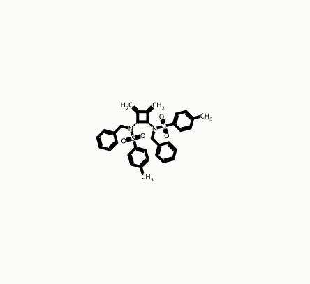 C=C1C(=C)[C@@H](N(Cc2ccccc2)S(=O)(=O)c2ccc(C)cc2)[C@@H]1N(Cc1ccccc1)S(=O)(=O)c1ccc(C)cc1